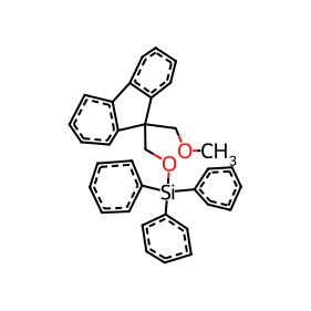 COCC1(CO[Si](c2ccccc2)(c2ccccc2)c2ccccc2)c2ccccc2-c2ccccc21